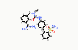 CCCN(Cc1cccc(C(=N)N)c1)C(=O)Nc1ccc(-c2ccccc2S(N)(=O)=O)cc1